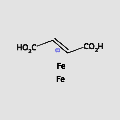 O=C(O)/C=C/C(=O)O.[Fe].[Fe]